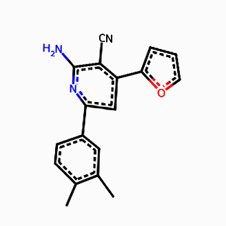 Cc1ccc(-c2cc(-c3ccco3)c(C#N)c(N)n2)cc1C